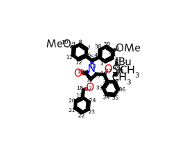 COc1ccc(C(c2ccc(OC)cc2)N2C(=O)[C@@H](OCc3ccccc3)[C@H]2[C@@H](O[Si](C)(C)C(C)(C)C)c2ccccc2)cc1